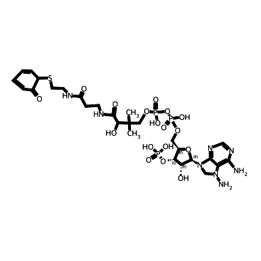 CC(C)(COP(=O)(O)OP(=O)(O)OC[C@H]1O[C@@H](N2CN(N)c3c(N)ncnc32)[C@H](O)[C@@H]1OP(=O)(O)O)C(O)C(=O)NCCC(=O)NCCSC1C=CC=CC1=O